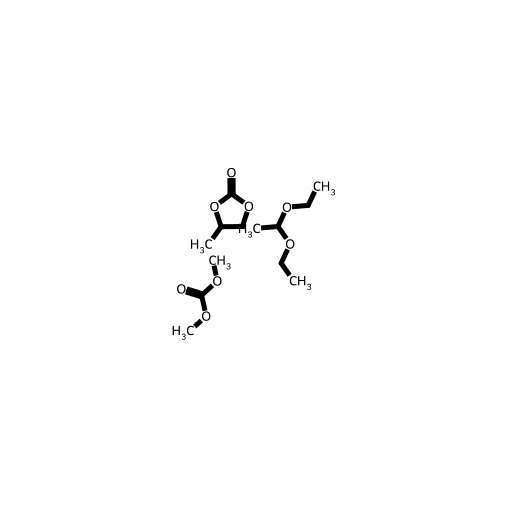 CC1COC(=O)O1.CCOC(C)OCC.COC(=O)OC